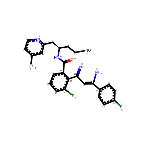 Cc1ccnc(C[C@@H](CCN=O)NC(=O)c2cccc(F)c2C(=N)/C=C(\N)c2ccc(F)cc2)c1